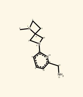 CN1CCC12CN(c1cccc(CN)n1)C2